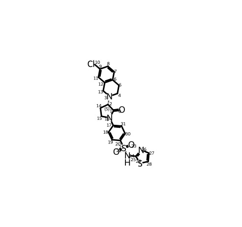 O=C1[C@@H](N2CCc3ccc(Cl)cc3C2)CCN1c1ccc(S(=O)(=O)Nc2nccs2)cc1